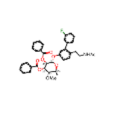 CO[C@@H]1[C@@H](OC(=O)c2ccccc2)[C@@H](OC(=O)c2ccccc2)[C@H](Oc2ccc(CCNC(C)=O)c(-c3cccc(F)c3)c2)O[C@H]1C